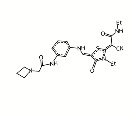 CCNC(=O)C(C#N)=c1sc(=CNc2cccc(NC(=O)CN3CCC3)c2)c(=O)n1CC